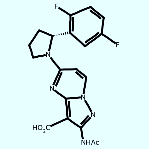 CC(=O)Nc1nn2ccc(N3CCC[C@@H]3c3cc(F)ccc3F)nc2c1C(=O)O